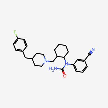 N#Cc1cccc(N(C(N)=O)C2CCCCC2CN2CCC(Cc3ccc(F)cc3)CC2)c1